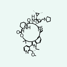 CCn1c(-c2cccnc2[C@H](C)OC)c2c3cc(ccc31)-c1csc(n1)[C@@H](OCCN1CCCC1)[C@H](NC(=O)[C@H]1[C@H](C)[C@@H]1C)C(=O)N1CCC[C@H](N1)C(=O)OCC(C)(C)C2